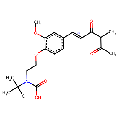 COc1cc(/C=C/C(=O)C(C)C(C)=O)ccc1OCCN(C(=O)O)C(C)(C)C